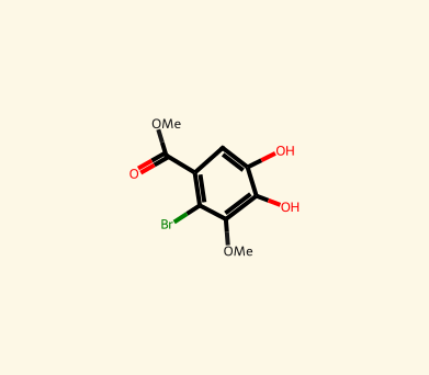 COC(=O)c1cc(O)c(O)c(OC)c1Br